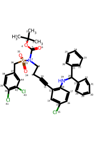 CC(C)(C)OC(=O)N(CCC#Cc1cc(Cl)ccc1NC(c1ccccc1)c1ccccc1)S(=O)(=O)Cc1ccc(Cl)c(Cl)c1